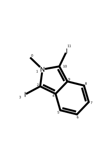 Cn1c(I)c2ccccc2c1I